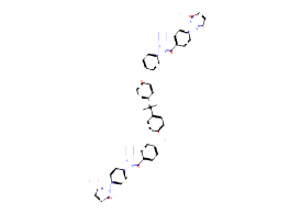 CC(C)(c1ccc(Oc2ccc(NC(=O)c3ccc(N4C(=O)C=CC4=O)cc3)cc2)cc1)c1ccc(Oc2ccc(C(=O)Nc3ccc(N4C(=O)C=CC4=O)cc3)cc2)cc1